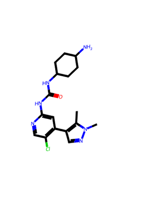 Cc1c(-c2cc(NC(=O)NC3CCC(N)CC3)ncc2Cl)cnn1C